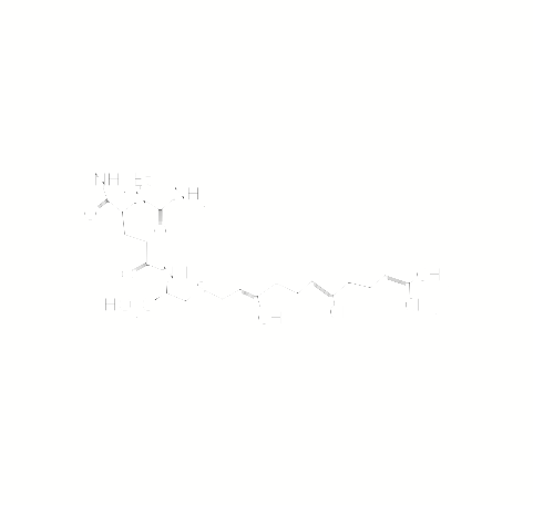 CCN(C(N)=O)C(CCC(=O)N[C@@H](CSC/C=C(\C)CC/C=C(\C)CCC=C(C)C)C(=O)O)C(N)=O